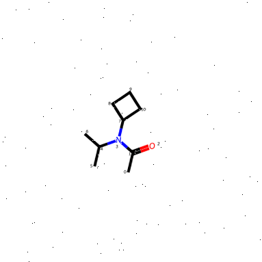 CC(=O)N(C(C)C)C1CCC1